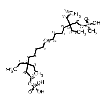 CCC(CC)(CCCCOCCCCC(CC)(CC)COP(C)(=O)O)CCOP(=O)(O)O